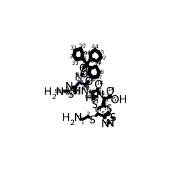 NCCSCc1nnsc1SC1=C(C(=O)O)N2C(=O)[C@@H](NC(=O)/C(=N\OOC(c3ccccc3)(c3ccccc3)c3ccccc3)c3csc(N)n3)[C@@H]2SC1